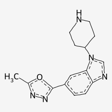 Cc1nnc(-c2ccc3ncn(C4CCNCC4)c3c2)o1